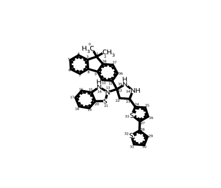 CC1(C)c2ccccc2-c2cc(C3(N4Nc5ccccc5S4)CC(c4ccc(-c5cccs5)s4)NN3)ccc21